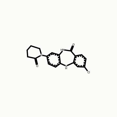 O=C1Nc2cc(N3CCCCC3=O)ccc2Nc2cc(Cl)ccc21